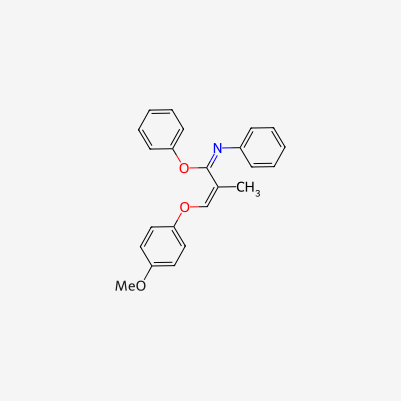 COc1ccc(OC=C(C)C(=Nc2ccccc2)Oc2ccccc2)cc1